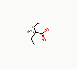 CCC(CC)C(=O)[O-].[K+]